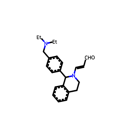 CCN(CC)Cc1ccc(C2c3ccccc3CCN2C=CC=O)cc1